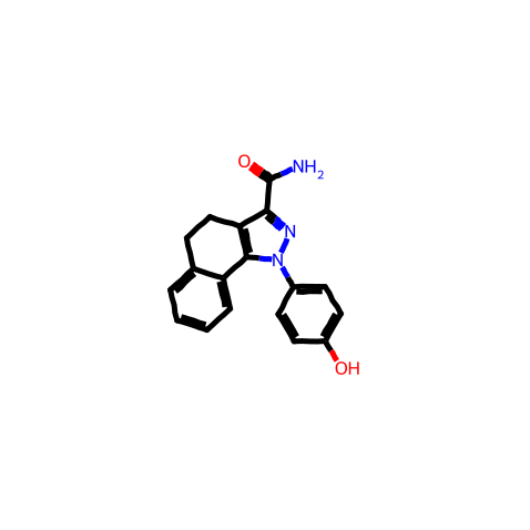 NC(=O)c1nn(-c2ccc(O)cc2)c2c1CCc1ccccc1-2